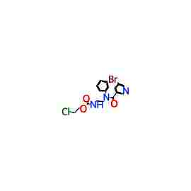 O=C(NCCN(C(=O)c1cncc(Br)c1)c1ccccc1)OCCCl